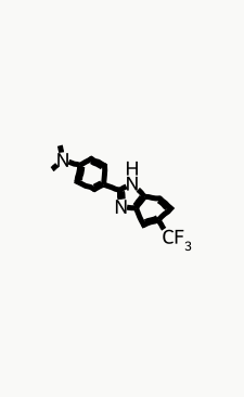 CN(C)c1ccc(-c2nc3cc(C(F)(F)F)ccc3[nH]2)cc1